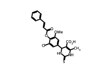 COc1cc(C2NC(=S)NC(C)=C2C(=O)O)cc(Cl)c1OC(=O)C=Cc1ccccc1